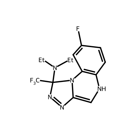 CCN(CC)C1(C(F)(F)F)N=NC2=CNc3ccc(F)cc3N21